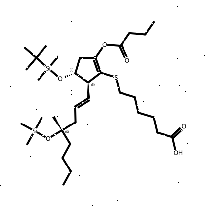 CCCC[C@@](C)(CC=C[C@@H]1C(SCCCCCC(=O)O)=C(OC(=O)CCC)C[C@H]1O[Si](C)(C)C(C)(C)C)O[Si](C)(C)C